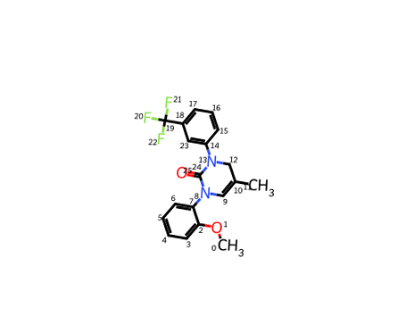 COc1ccccc1N1C=C(C)CN(c2cccc(C(F)(F)F)c2)C1=O